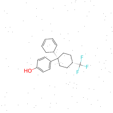 Oc1ccc([C@]2(C3C=CC=CC3)CC[C@@H](C(F)(F)F)CC2)cc1